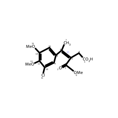 COC(=O)/C(CC(=O)O)=C(/C)c1cc(Cl)c(OC)c(OC)c1